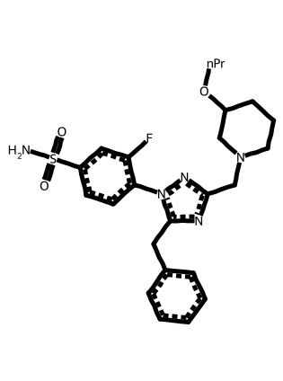 CCCOC1CCCN(Cc2nc(Cc3ccccc3)n(-c3ccc(S(N)(=O)=O)cc3F)n2)C1